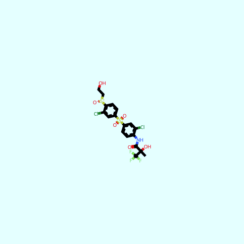 CC(O)(C(=O)Nc1ccc(S(=O)(=O)c2ccc([S+]([O-])CCO)c(Cl)c2)cc1Cl)C(F)(F)F